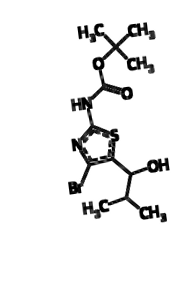 CC(C)C(O)c1sc(NC(=O)OC(C)(C)C)nc1Br